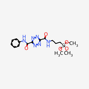 CO[Si](CCCNC(=O)c1nnc(C(=O)Nc2ccccc2)nn1)(OC)OC